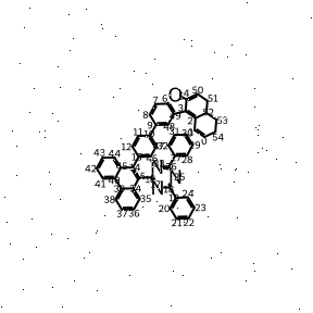 C1=CC2=c3c(oc4ccc(-c5ccc(-c6c(-c7nc(-c8ccccc8)nc(-c8ccccc8)n7)c7ccccc7c7ccccc67)cc5)cc34)=CCC2CC1